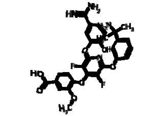 COc1cc(C(=O)O)ccc1Oc1c(F)c(Oc2cccc(C(C)(C)N)c2)nc(Oc2cc(C(=N)N)ccc2O)c1F